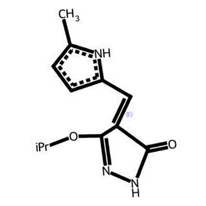 Cc1ccc(/C=C2/C(=O)NN=C2OC(C)C)[nH]1